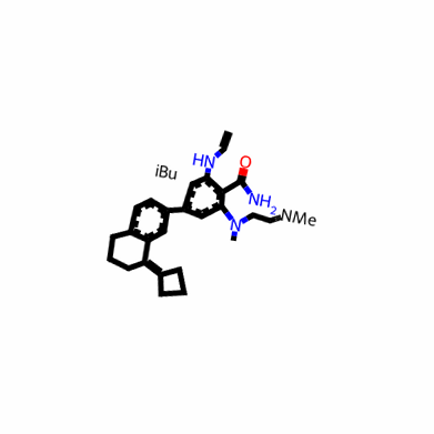 C=CNc1c(C(N)=O)c(N(C)CCNC)cc(-c2ccc3c(c2)C(=C2CCC2)CCC3)c1[C@H](C)CC